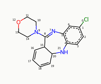 Clc1ccc2c(c1)N=C(N1CCOCC1)C1C=CC=CC1N2